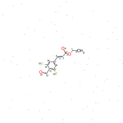 CCOC(=O)/C=C/c1cc(F)c(C=O)c(F)c1